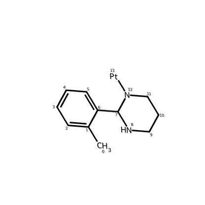 Cc1ccccc1C1NCCC[N]1[Pt]